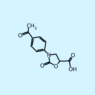 CC(=O)c1ccc(N2CC(C(=O)O)OC2=O)cc1